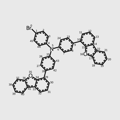 Brc1ccc(N(c2ccc(-c3cccc4c3oc3ccccc34)cc2)c2ccc(-c3cccc4c3oc3ccccc34)cc2)cc1